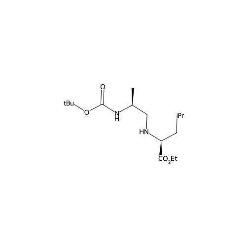 CCOC(=O)[C@H](CC(C)C)NC[C@H](C)NC(=O)OC(C)(C)C